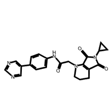 O=C(CN1CCCC2=C1C(=O)N(C1CC1)C2=O)Nc1ccc(-c2cncnc2)cc1